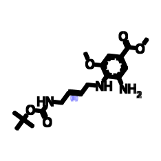 COC(=O)c1cc(N)c(NC/C=C/CNC(=O)OC(C)(C)C)c(OC)c1